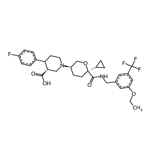 CCOc1cc(CNC(=O)[C@@]2(C3CC3)CC[C@@H](N3CCC(c4ccc(F)cc4)[C@H](C(=O)O)C3)CO2)cc(C(F)(F)F)c1